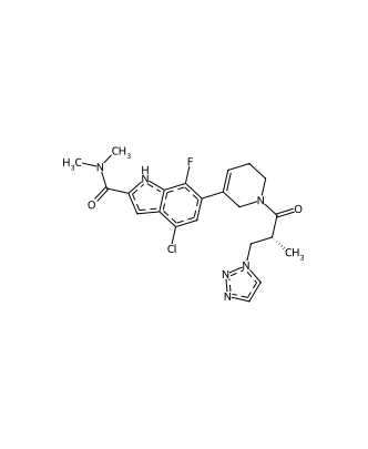 C[C@H](Cn1ccnn1)C(=O)N1CCC=C(c2cc(Cl)c3cc(C(=O)N(C)C)[nH]c3c2F)C1